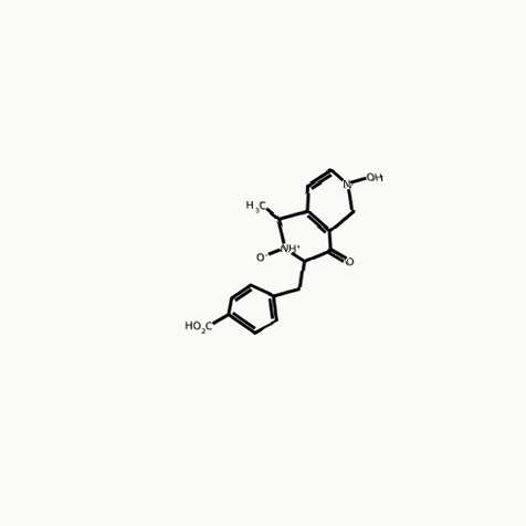 CC1C2=C(CN(O)C=C2)C(=O)C(Cc2ccc(C(=O)O)cc2)[NH+]1[O-]